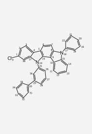 Clc1ccc2c3ccc4c(c5ccccc5n4-c4ccccc4)c3n(-c3cccc(-c4ccccc4)c3)c2c1